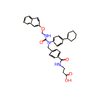 O=C(O)CCNC(=O)c1ccc(CN(C(=O)NCOc2ccc3ccccc3c2)c2ccc(C3CCCCC3)cc2)cc1